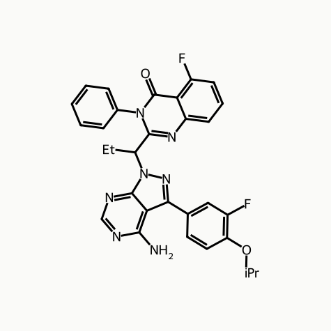 CCC(c1nc2cccc(F)c2c(=O)n1-c1ccccc1)n1nc(-c2ccc(OC(C)C)c(F)c2)c2c(N)ncnc21